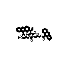 C=CCn1c(=O)n(CC(O)COC(=O)c2c3ccccc3cc3ccccc23)c(=O)n(CC(CO)OC(=O)c2c3ccccc3cc3ccccc23)c1=O